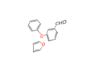 O=Cc1cccc(Oc2ccccc2)c1.c1ccoc1